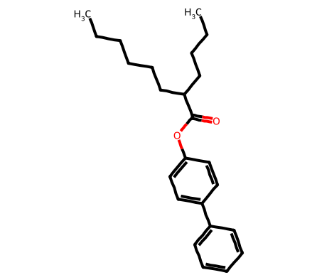 CCCCCCC(CCCC)C(=O)Oc1ccc(-c2ccccc2)cc1